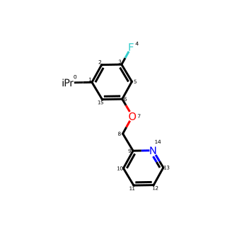 CC(C)c1cc(F)cc(OCc2ccccn2)c1